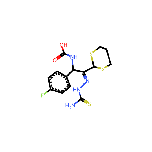 NC(=S)NN=C(C1SCCCS1)C(NC(=O)O)c1ccc(F)cc1